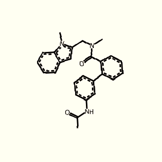 CC(=O)Nc1cccc(-c2ccccc2C(=O)N(C)Cc2cc3ccccc3n2C)c1